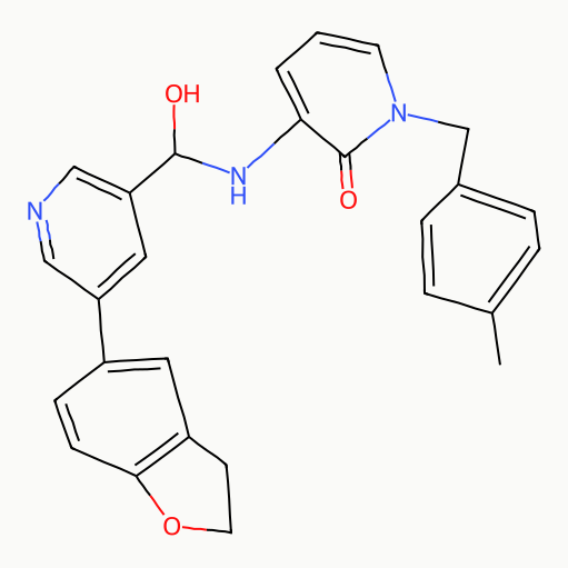 Cc1ccc(Cn2cccc(NC(O)c3cncc(-c4ccc5c(c4)CCO5)c3)c2=O)cc1